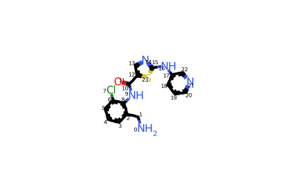 NCc1cccc(Cl)c1NC(=O)c1cnc(Nc2cccnc2)s1